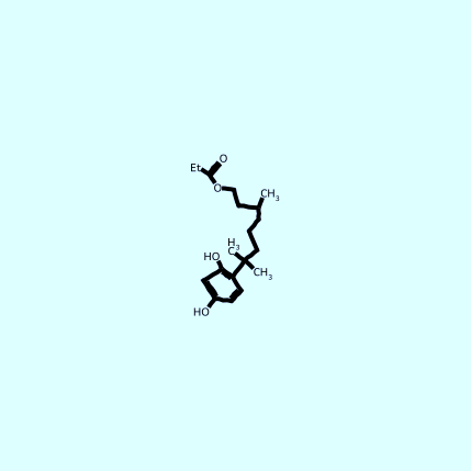 CCC(=O)OCCC(C)CCCC(C)(C)c1ccc(O)cc1O